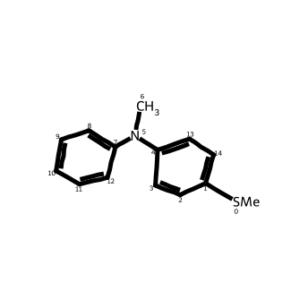 CSc1ccc(N(C)c2ccccc2)cc1